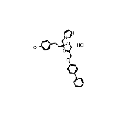 Cl.Clc1ccc(CCC2(Cn3ccnc3)OCC(COc3ccc(-c4ccccc4)cc3)O2)cc1